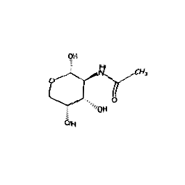 CC(=O)N[C@H]1[C@H](O)[C@H](O)CO[C@@H]1O